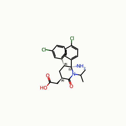 CC(C)N1C(=O)[C@@H](CC(=O)O)C[C@H](c2cccc(Cl)c2)[C@@]1(N)c1ccc(Cl)cc1